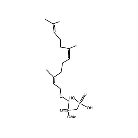 COP(=O)(COCC=C(C)CCC=C(C)CCC=C(C)C)CP(=O)(O)O